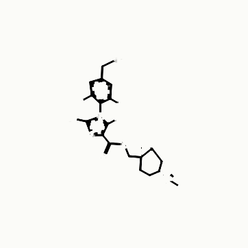 CCc1nc(C(=O)NC[C@]2(O)CC[C@@H](S(C)(=O)=O)CC2)c(Cl)n1-c1c(F)cc(CC(C)C)cc1F